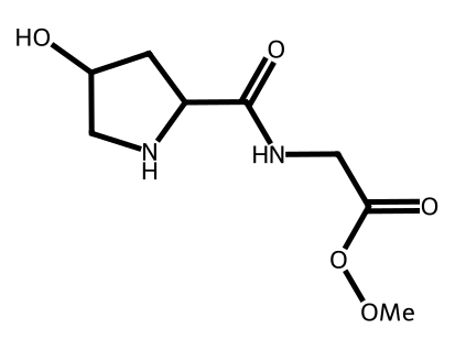 COOC(=O)CNC(=O)C1CC(O)CN1